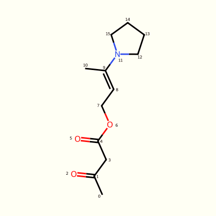 CC(=O)CC(=O)OCC=C(C)N1CCCC1